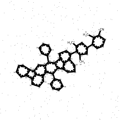 Cc1cc(-c2cccc(C#N)c2C)cc(C)c1-c1ccc2c3c(-c4ccccc4)c4cc5c6ccccc6c6cccc(c4c(-c4ccccc4)c3c3cccc1c23)c65